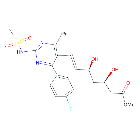 COC(=O)C[C@H](O)C[C@H](O)/C=C/c1c(-c2ccc(F)cc2)nc(NS(C)(=O)=O)nc1C(C)C